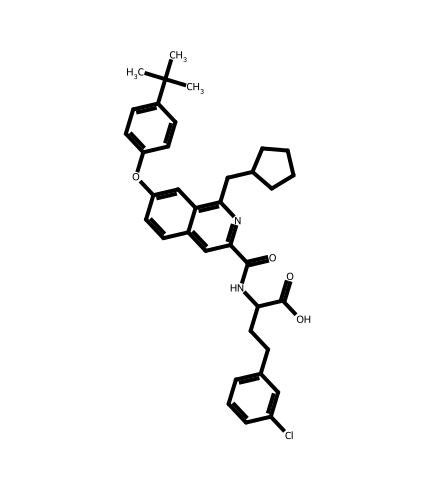 CC(C)(C)c1ccc(Oc2ccc3cc(C(=O)NC(CCc4cccc(Cl)c4)C(=O)O)nc(CC4CCCC4)c3c2)cc1